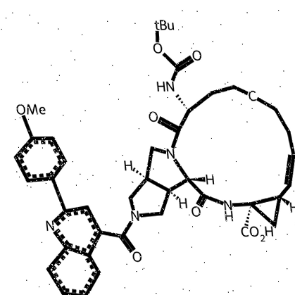 COc1ccc(-c2cc(C(=O)N3C[C@H]4CN5C(=O)[C@H](NC(=O)OC(C)(C)C)CCCCC/C=C\[C@@H]6C[C@@]6(C(=O)O)NC(=O)[C@@H]5[C@H]4C3)c3ccccc3n2)cc1